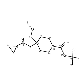 COCC1(CNC2CC2)CCN(C(=O)OC(C)(C)C)CC1